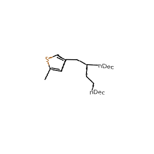 CCCCCCCCCCCCC(CCCCCCCCCC)Cc1csc(C)c1